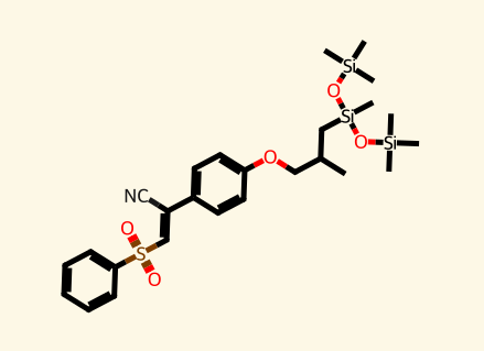 CC(COc1ccc(/C(C#N)=C/S(=O)(=O)c2ccccc2)cc1)C[Si](C)(O[Si](C)(C)C)O[Si](C)(C)C